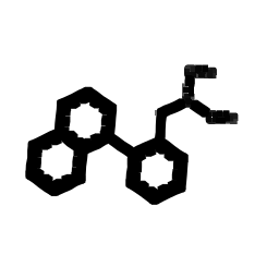 CO[SiH]([CH]c1ccccc1-c1cccc2ccccc12)OC